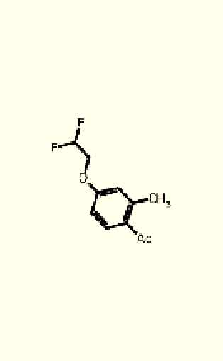 CC(=O)c1ccc(OCC(F)F)cc1C